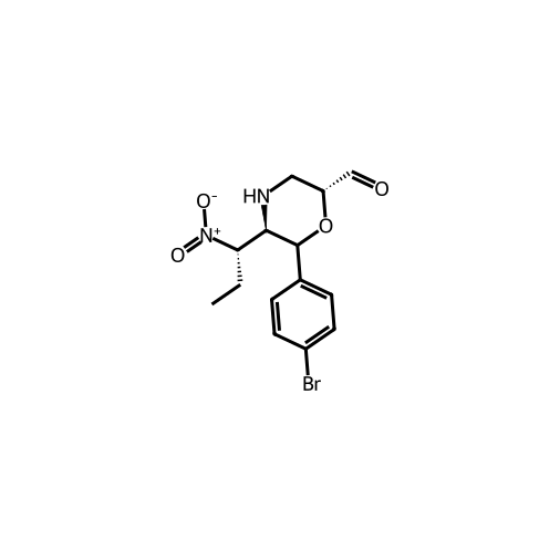 CC[C@@H]([C@H]1NC[C@H](C=O)OC1c1ccc(Br)cc1)[N+](=O)[O-]